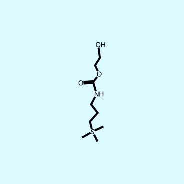 CS(C)(C)CCCNC(=O)OCCO